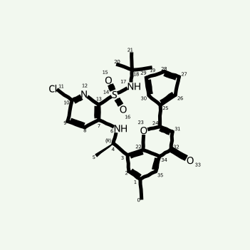 Cc1cc([C@@H](C)Nc2ccc(Cl)nc2S(=O)(=O)NC(C)(C)C)c2oc(-c3ccccc3)cc(=O)c2c1